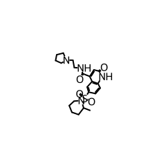 CC1CCCCN1S(=O)(=O)c1ccc2[nH]c(=O)cc(C(=O)NCCN3CCCC3)c2c1